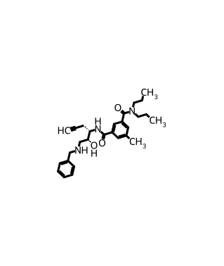 C#CC[C@H](NC(=O)c1cc(C)cc(C(=O)N(CCC)CCC)c1)[C@H](O)CNCc1ccccc1